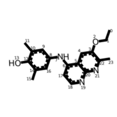 CCOc1cc2c(Nc3cc(C)c(O)c(C)c3)ccnc2nc1C